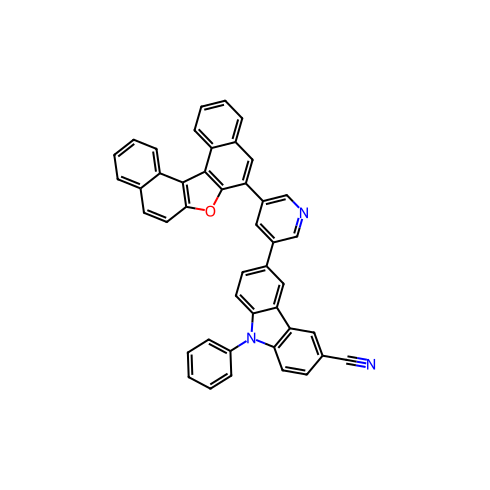 N#Cc1ccc2c(c1)c1cc(-c3cncc(-c4cc5ccccc5c5c4oc4ccc6ccccc6c45)c3)ccc1n2-c1ccccc1